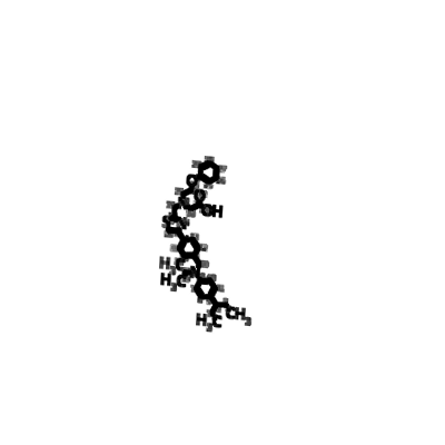 CCC(CC)c1ccc(N(Cc2ccc(-c3csc(CN(CCOc4ccccc4)CC(=O)O)n3)cc2)C(C)C)cc1